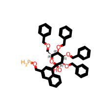 OC1(c2cc(COP)cc3ccccc23)O[C@H](COCc2ccccc2)[C@@H](OCc2ccccc2)[C@H](OCc2ccccc2)[C@H]1OCc1ccccc1